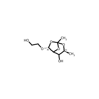 C[C@@H]1OC2(C)OC(C1O)[C@H](OCCO)O2